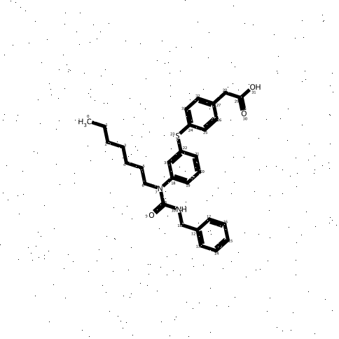 CCCCCCCN(C(=O)NCc1ccccc1)c1cccc(Sc2ccc(CC(=O)O)cc2)c1